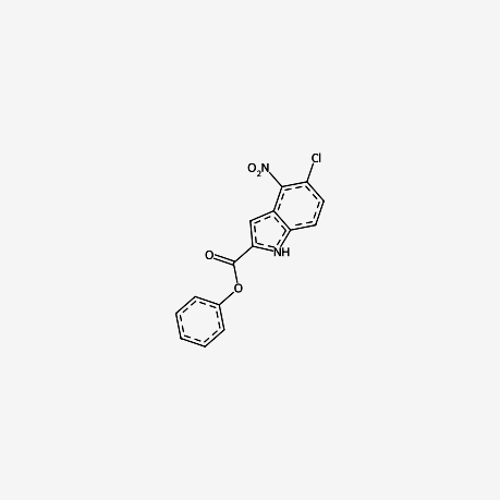 O=C(Oc1ccccc1)c1cc2c([N+](=O)[O-])c(Cl)ccc2[nH]1